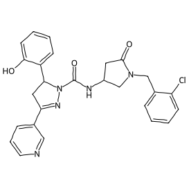 O=C1CC(NC(=O)N2N=C(c3cccnc3)CC2c2ccccc2O)CN1Cc1ccccc1Cl